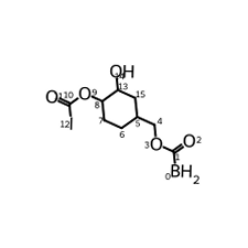 BC(=O)OCC1CCC(OC(=O)I)C(O)C1